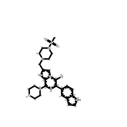 CS(=O)(=O)N1CCN(Cc2cn3c(Cl)c(-c4ccc5[nH]ccc5c4)nc(N4CCOCC4)c3n2)CC1